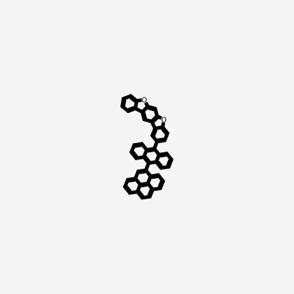 c1cc2ccc3cccc4c(-c5c6ccccc6c(-c6ccc7oc8cc9oc%10ccccc%10c9cc8c7c6)c6ccccc56)cc(c1)c2c34